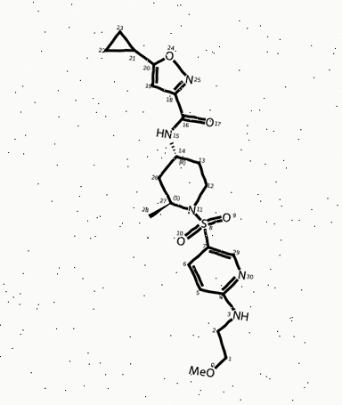 COCCNc1ccc(S(=O)(=O)N2CC[C@@H](NC(=O)c3cc(C4CC4)on3)C[C@@H]2C)cn1